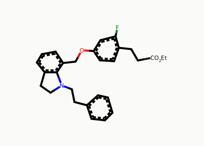 CCOC(=O)CCc1ccc(OCc2cccc3c2N(CCc2ccccc2)CC3)cc1F